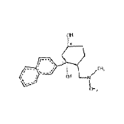 CN(C)CC1CC[C@@H](O)C[C@]1(O)c1ccc2ccccc2c1